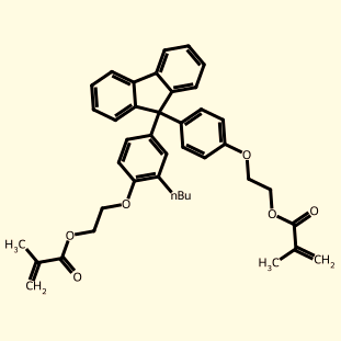 C=C(C)C(=O)OCCOc1ccc(C2(c3ccc(OCCOC(=O)C(=C)C)c(CCCC)c3)c3ccccc3-c3ccccc32)cc1